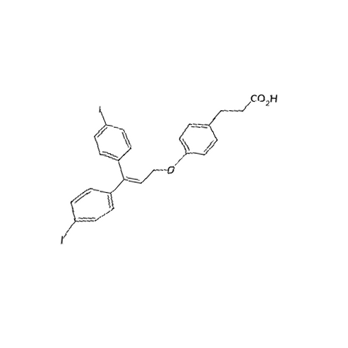 O=C(O)CCc1ccc(OCC=C(c2ccc(I)cc2)c2ccc(I)cc2)cc1